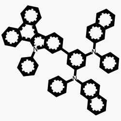 c1ccc(N(c2cc(-c3ccc4c5c6ccccc6c6ccccc6c5n(-c5ccccc5)c4c3)cc(N(c3ccccc3)c3ccc4ccccc4c3)c2)c2ccc3ccccc3c2)cc1